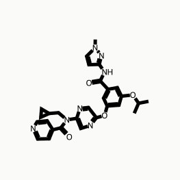 CC(C)Oc1cc(Oc2cnc(N(CC3CC3)C(=O)c3ccncc3)cn2)cc(C(=O)Nc2ccn(C)n2)c1